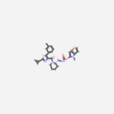 Cc1cccc(-c2sc(C3CC3)nc2C(=O)N2CCCC[C@H]2CNC(=O)Oc2cc3occc3n2C)c1